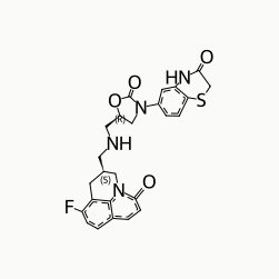 O=C1CSc2ccc(N3C[C@@H](CNC[C@@H]4Cc5c(F)ccc6ccc(=O)n(c56)C4)OC3=O)cc2N1